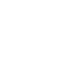 Clc1cc(OCc2ccccc2)cc(OCC2OCCCO2)n1